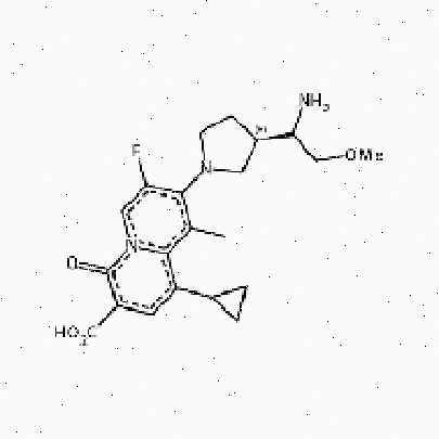 COCC(N)[C@@H]1CCN(c2c(F)cn3c(=O)c(C(=O)O)cc(C4CC4)c3c2C)C1